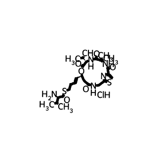 CC(C)[C@H](N)C(=O)SCC/C=C/[C@@H]1CC(=O)NCc2nc(cs2)C(=O)NC(C)(C)C(=O)N[C@@H](C(C)C)C(=O)O1.Cl